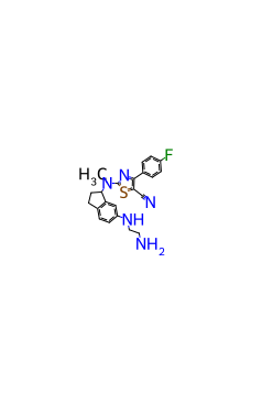 CN(c1nc(-c2ccc(F)cc2)c(C#N)s1)C1CCc2ccc(NCCN)cc21